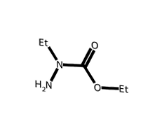 CCOC(=O)N(N)CC